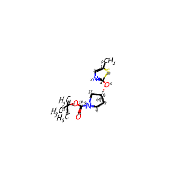 Cc1cnc(O[C@@H]2CCN(C(=O)OC(C)(C)C)C2)s1